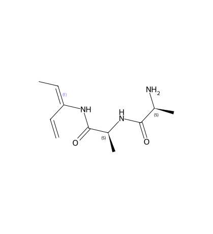 C=C/C(=C\C)NC(=O)[C@H](C)NC(=O)[C@H](C)N